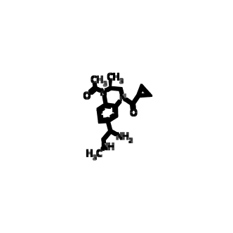 CNCC(N)c1ccc2c(c1)N(C(=O)C1CC1)C[C@H](C)N2C(C)=O